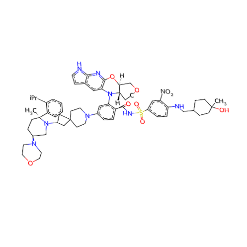 CC(C)c1ccccc1[C@]1(C)CC[C@H](N2CCOCC2)CN1C1CC2(CCN(c3ccc(C(=O)NS(=O)(=O)c4ccc(NCC5CCC(C)(O)CC5)c([N+](=O)[O-])c4)c(N4c5cc6cc[nH]c6nc5O[C@H]5COCC[C@@H]54)c3)CC2)C1